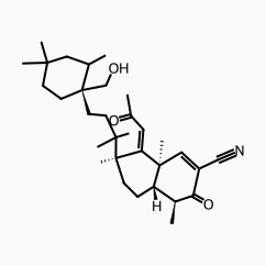 CC(=O)/C=C1/[C@@]2(C)C=C(C#N)C(=O)[C@@H](C)[C@@H]2CC[C@@]1(C)C(C)(C)CC[C@@]1(CO)CCC(C)(C)CC1C